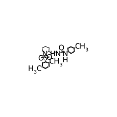 Cc1ccc(NC(=O)NCCC2CCCCN2S(=O)(=O)c2cc(C)ccc2C)cc1